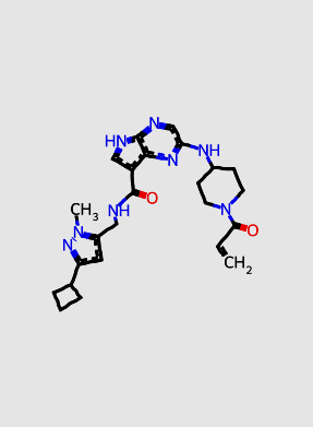 C=CC(=O)N1CCC(Nc2cnc3[nH]cc(C(=O)NCc4cc(C5CCC5)nn4C)c3n2)CC1